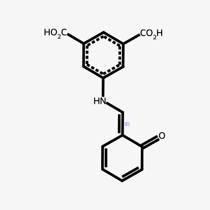 O=C1C=CC=C/C1=C\Nc1cc(C(=O)O)cc(C(=O)O)c1